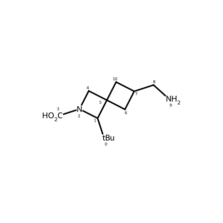 CC(C)(C)C1N(C(=O)O)CC12CC(CN)C2